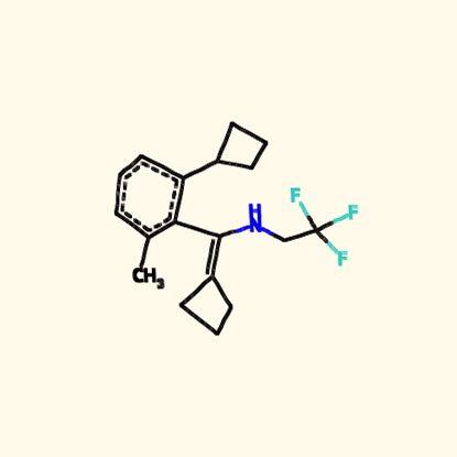 Cc1cccc(C2CCC2)c1C(NCC(F)(F)F)=C1CCC1